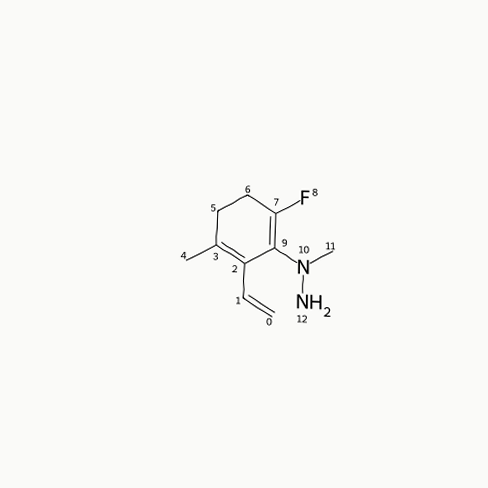 C=CC1=C(C)CCC(F)=C1N(C)N